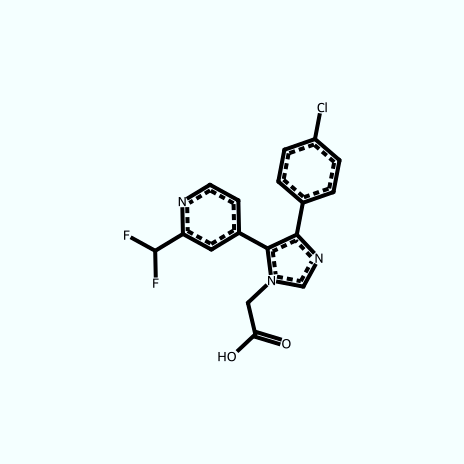 O=C(O)Cn1cnc(-c2ccc(Cl)cc2)c1-c1ccnc(C(F)F)c1